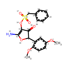 COc1ccc(OC)c(C2OC(N)=C(OS(=O)(=O)Cc3ccccc3)C2=O)c1